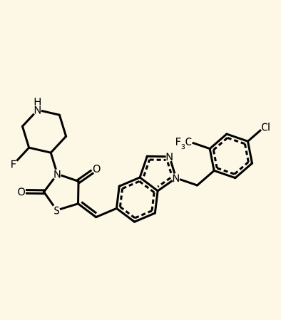 O=C1SC(=Cc2ccc3c(cnn3Cc3ccc(Cl)cc3C(F)(F)F)c2)C(=O)N1C1CCNCC1F